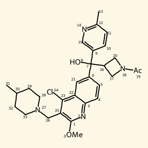 COc1nc2ccc(C(O)(c3ccc(C)nc3)C3CN(C(C)=O)C3)cc2c(Cl)c1CN1CCC(C)CC1